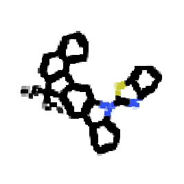 CC1(C)c2cc3c4ccccc4n(-c4nc5ccccc5s4)c3cc2-c2c1ccc1ccccc21